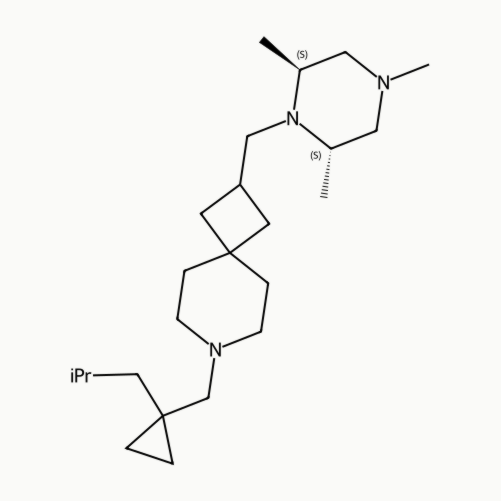 CC(C)CC1(CN2CCC3(CC2)CC(CN2[C@@H](C)CN(C)C[C@@H]2C)C3)CC1